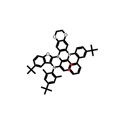 Cc1cc(C(C)(C)C)cc(C)c1N1c2cccc3c2B(c2cc4c(cc2N3c2ccc(C(C)(C)C)cc2-c2ccccc2)OCCO4)c2oc3ccc(C(C)(C)C)cc3c21